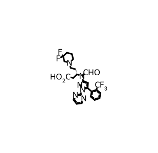 O=CN(c1cc(-c2ccccc2C(F)(F)F)n(-c2ncccn2)n1)[C@@H](CCN1CCCC(F)(F)C1)CC(=O)O